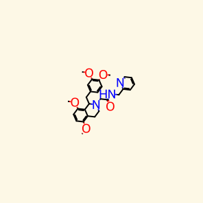 COc1ccc(CC2c3c(OC)ccc(OC)c3CCN2CC(=O)NCc2ccccn2)cc1OC